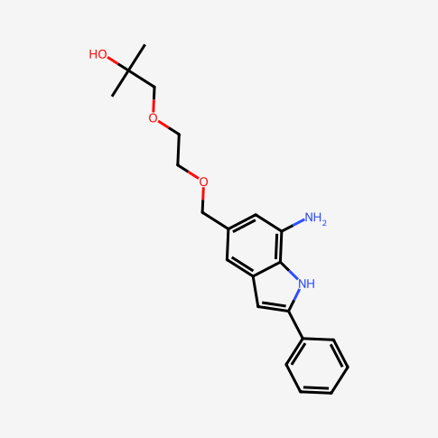 CC(C)(O)COCCOCc1cc(N)c2[nH]c(-c3ccccc3)cc2c1